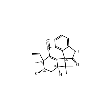 [C-]#[N+]C1=C2[C@H](C[C@@H](Cl)[C@@]1(C)C=C)C(C)(C)[C@@]21C(=O)Nc2ccccc21